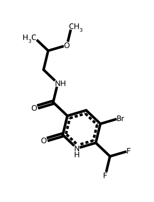 COC(C)CNC(=O)c1cc(Br)c(C(F)F)[nH]c1=O